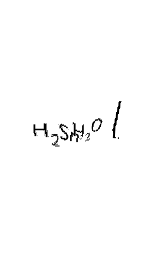 O.[CH2]C.[SnH2]